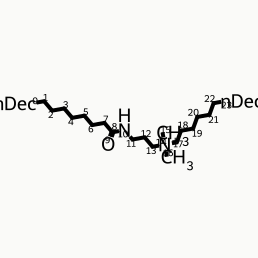 CCCCCCCCCCCCCCCCCC(=O)NCCC[N+](C)(C)CCCCCCCCCCCCCCCC